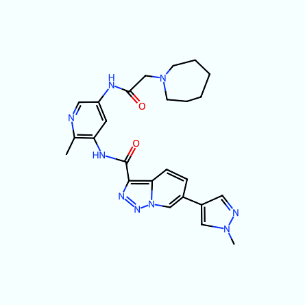 Cc1ncc(NC(=O)CN2CCCCCC2)cc1NC(=O)c1nnn2cc(-c3cnn(C)c3)ccc12